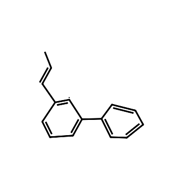 CC=Cc1[c]c(-c2ccccc2)ccc1